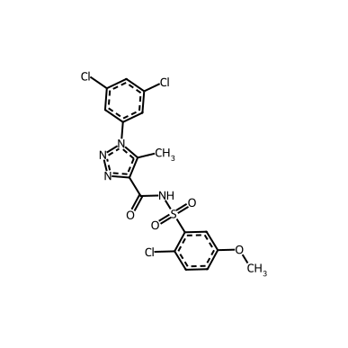 COc1ccc(Cl)c(S(=O)(=O)NC(=O)c2nnn(-c3cc(Cl)cc(Cl)c3)c2C)c1